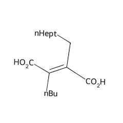 CCCCCCCCC(C(=O)O)=C(CCCC)C(=O)O